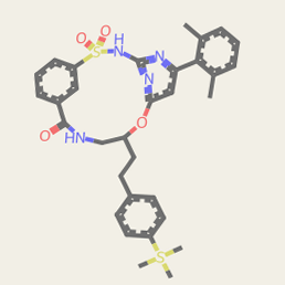 Cc1cccc(C)c1-c1cc2nc(n1)NS(=O)(=O)c1cccc(c1)C(=O)NCC(CCc1ccc(S(C)(C)C)cc1)O2